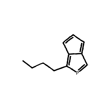 CCCCC1=C2C=CC=C2[C]=P1